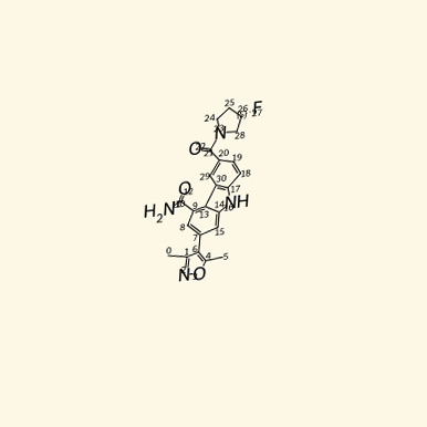 Cc1noc(C)c1-c1cc(C(N)=O)c2c(c1)[nH]c1ccc(C(=O)N3CC[C@H](F)C3)cc12